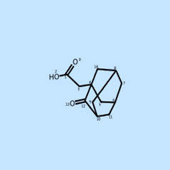 O=C(O)CC12CC3CC(CC(C3)C1=O)C2